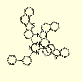 c1ccc(-c2cccc(-c3nc(-c4ccc5c(c4)sc4ccccc45)nc(-c4ccc5c(sc6c7ccccc7ccc56)c4-n4c5cc6ccccc6cc5c5c6ccccc6ccc54)n3)c2)cc1